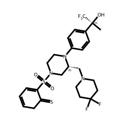 C[C@](O)(c1ccc(N2CCN(S(=O)(=O)C3=CC=CCC3=S)C[C@H]2CN2CCC(F)(F)CC2)cc1)C(F)(F)F